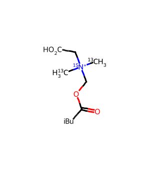 CCC(C)C(=O)OC[15N+]([13CH3])([13CH3])CC(=O)O